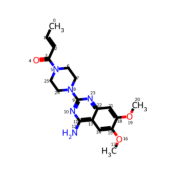 CC=CC(=O)N1CCN(c2nc(N)c3cc(OC)c(OC)cc3n2)CC1